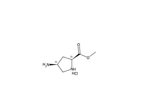 COC(=O)[C@@H]1C[C@H](N)CN1.Cl